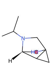 CC(C)N1CC23CC2[C@H]1CN3